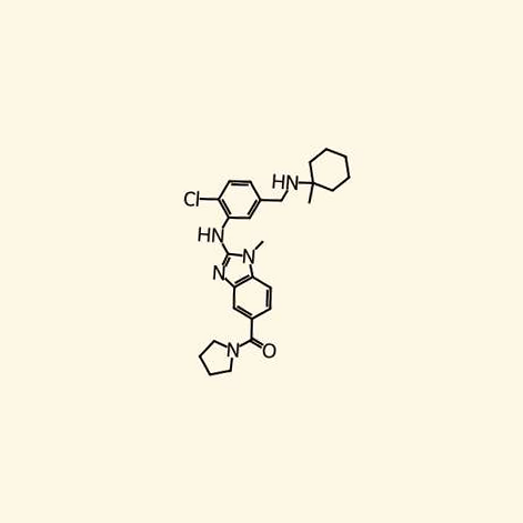 Cn1c(Nc2cc(CNC3(C)CCCCC3)ccc2Cl)nc2cc(C(=O)N3CCCC3)ccc21